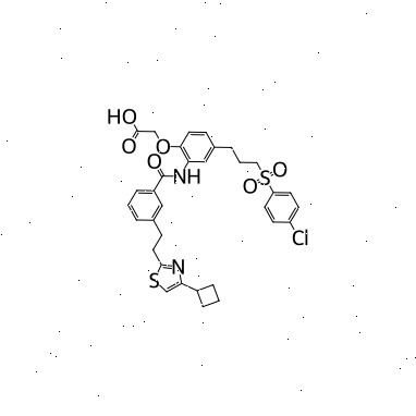 O=C(O)COc1ccc(CCCS(=O)(=O)c2ccc(Cl)cc2)cc1NC(=O)c1cccc(CCc2nc(C3CCC3)cs2)c1